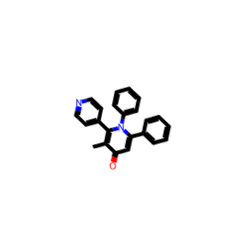 Cc1c(-c2ccncc2)n(-c2ccccc2)c(-c2ccccc2)cc1=O